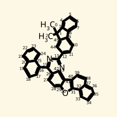 CC1(C)c2ccccc2-c2ccc(-c3nc(-c4cccc5ccccc45)c4ccc5oc6c7ccccc7ccc6c5c4n3)cc21